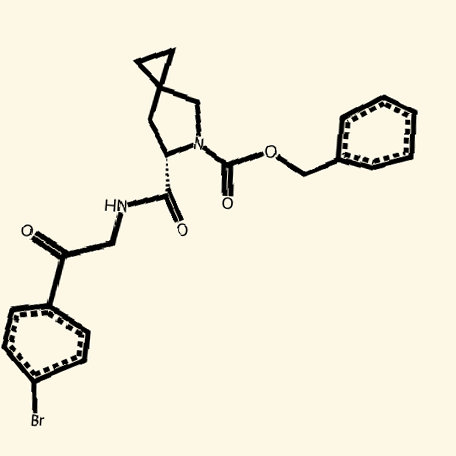 O=C(CNC(=O)[C@@H]1CC2(CC2)CN1C(=O)OCc1ccccc1)c1ccc(Br)cc1